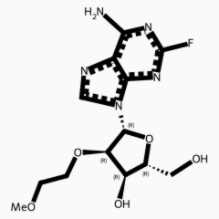 COCCO[C@@H]1[C@H](O)[C@@H](CO)O[C@H]1n1cnc2c(N)nc(F)nc21